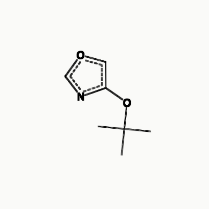 CC(C)(C)Oc1cocn1